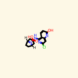 O=C(O)N1[C@@H]2CC[C@H]1C[C@@H](Nc1nc(Cl)cc3nc(O)ccc13)C2